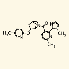 Cc1ccc(OC2CC3CC2N(C(=O)c2ccc(C)nc2-c2nccn2C)C3)nc1